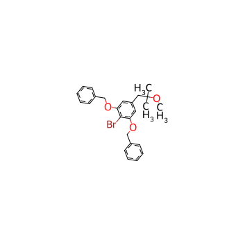 COC(C)(C)Cc1cc(OCc2ccccc2)c(Br)c(OCc2ccccc2)c1